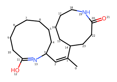 C/C(=C/C1CCCCCCC/C(O)=N\1)C1CCCCNC(=O)CC1